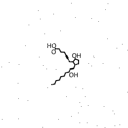 CCCCCCCC(O)C=CC1CCC(O)C1CC#CCCCC(=O)O